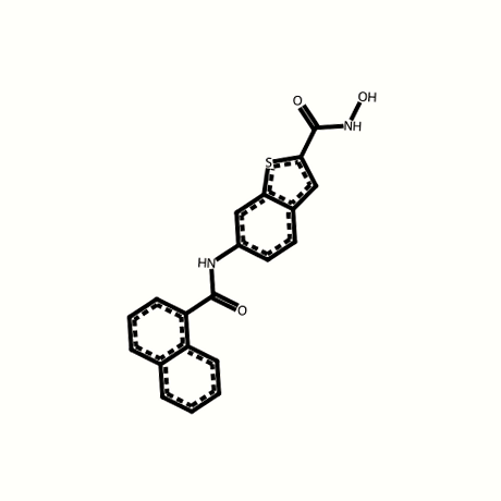 O=C(NO)c1cc2ccc(NC(=O)c3cccc4ccccc34)cc2s1